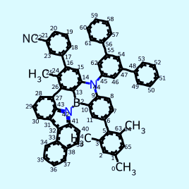 Cc1cc(C)c(-c2ccc3c(c2)B2c4c(cc(-c5cccc(C#N)c5)c(C)c4-c4cccc5c6c7ccccc7ccc6n2c45)N3c2cc(-c3ccccc3)cc(-c3ccccc3)c2)c(C)c1